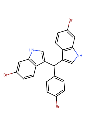 Brc1ccc(C(c2c[nH]c3cc(Br)ccc23)c2c[nH]c3cc(Br)ccc23)cc1